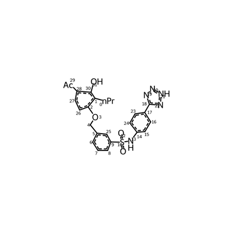 CCCc1c(OCc2cccc(S(=O)(=O)Nc3ccc(-c4nn[nH]n4)cc3)c2)ccc(C(C)=O)c1O